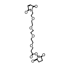 O=C(CCOCCOCCOCCOCCN1C(=O)C=CC1=O)ON1C(=O)CCC1=O